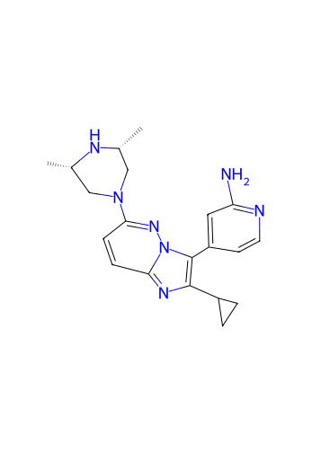 C[C@@H]1CN(c2ccc3nc(C4CC4)c(-c4ccnc(N)c4)n3n2)C[C@H](C)N1